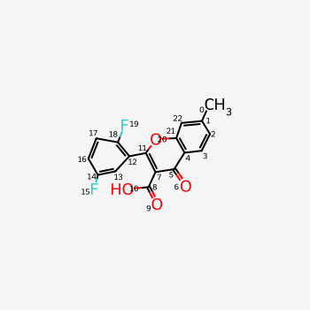 Cc1ccc2c(=O)c(C(=O)O)c(-c3cc(F)ccc3F)oc2c1